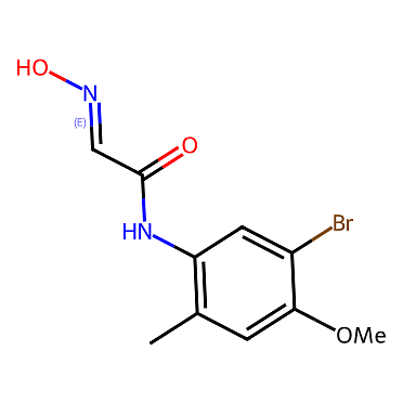 COc1cc(C)c(NC(=O)/C=N/O)cc1Br